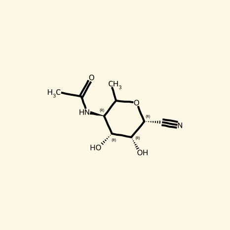 CC(=O)N[C@H]1C(C)O[C@H](C#N)[C@H](O)[C@@H]1O